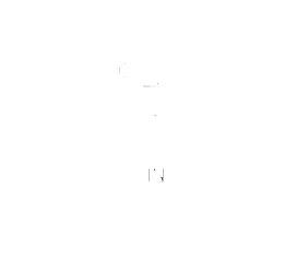 CNCC[CH]c1ccc(Cl)cc1